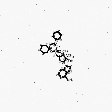 C[C@@]1(O)[C@H](O)C(O[P@@]2(=O)O[C@@H](c3ccccc3)CC3(CCCCC3)O2)O[C@H]1n1cnc2c(N)ncnc21